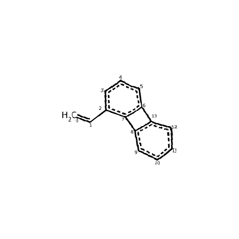 C=Cc1cccc2c1-c1ccccc1-2